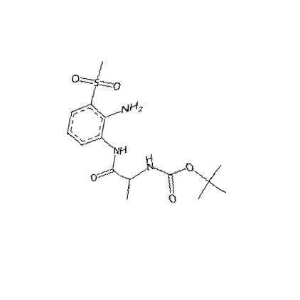 CC(NC(=O)OC(C)(C)C)C(=O)Nc1cccc(S(C)(=O)=O)c1N